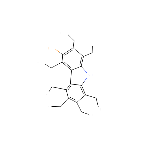 CCc1c(P)c(CC)c2c([nH]c3c(CC)c(CC)c(CC)c(CC)c32)c1CC